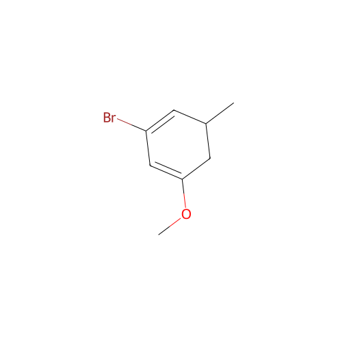 COC1=CC(Br)=CC(C)C1